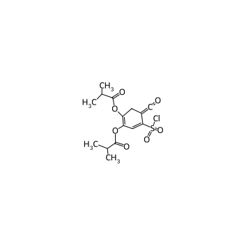 CC(C)C(=O)OC1=C(OC(=O)C(C)C)CC(=C=O)C(S(=O)(=O)Cl)=C1